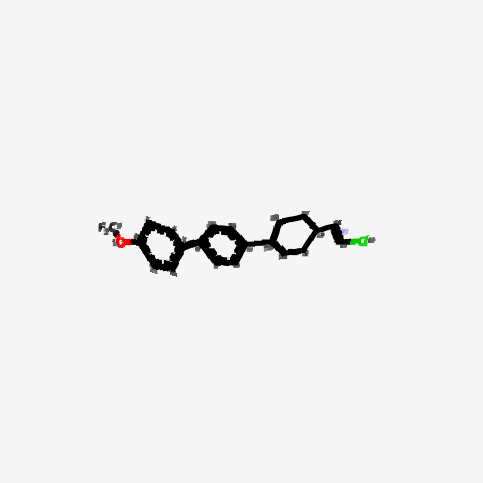 FC(F)(F)Oc1ccc(-c2ccc(C3CCC(/C=C/Cl)CC3)cc2)cc1